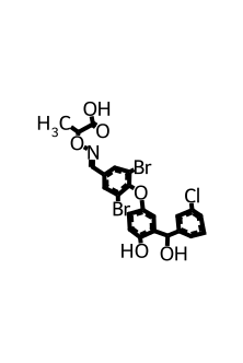 CC(ON=Cc1cc(Br)c(Oc2ccc(O)c(C(O)c3cccc(Cl)c3)c2)c(Br)c1)C(=O)O